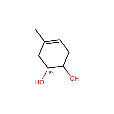 CC1=CCC(O)[C@H](O)C1